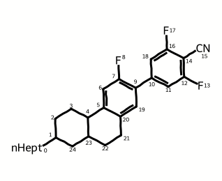 CCCCCCCC1CCC2c3cc(F)c(-c4cc(F)c(C#N)c(F)c4)cc3CCC2C1